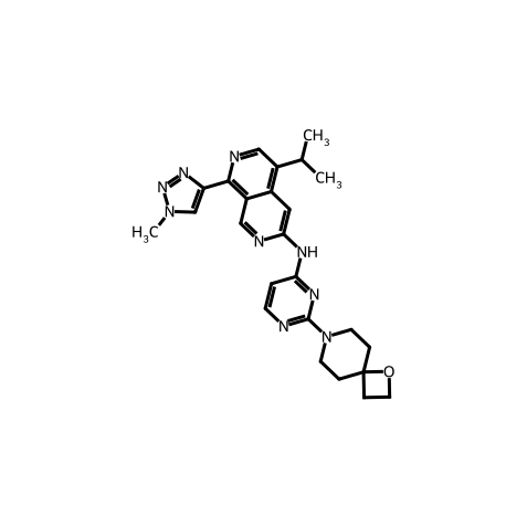 CC(C)c1cnc(-c2cn(C)nn2)c2cnc(Nc3ccnc(N4CCC5(CCO5)CC4)n3)cc12